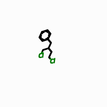 ClCCC(CCl)Cc1ccccc1